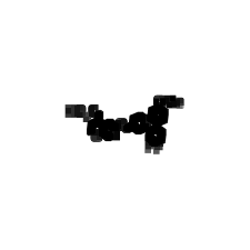 COc1ccc(C2CCC(F)(F)CC2)c(N2CCC(COc3cc4c(cn3)OCCC4CC(=O)O)CC2)c1